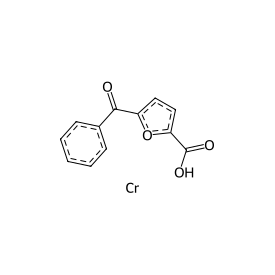 O=C(O)c1ccc(C(=O)c2ccccc2)o1.[Cr]